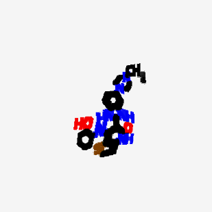 CN1CCN(c2ccc3nc(-c4c(N[C@H]5CCCC[C@@H]5O)c5sccc5[nH]c4=O)[nH]c3c2)CC1